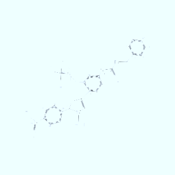 CN1C=C(c2ccc(NC(=O)NCc3ccccc3)cc2SNC(C)(C)C)SC1c1ccc([N+](=O)[O-])cc1